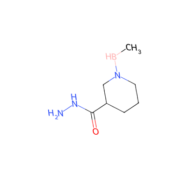 CBN1CCCC(C(=O)NN)C1